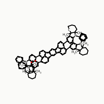 CC12CCCCCC1(C)N(c1ccccc1)c1ccc(-c3ccc4c5cc6c(cc5c5ccc(-c7ccc8c(c7)C7(C)CCCCCC7(C)N8c7ccccc7)c3c45)c3ccc(-c4ccc5c(c4)C4(C)CCCCCC4(C)N5c4ccccc4)c4c(-c5ccc7c(c5)C5(C)CCCCCC5(C)N7c5ccccc5)ccc6c43)cc12